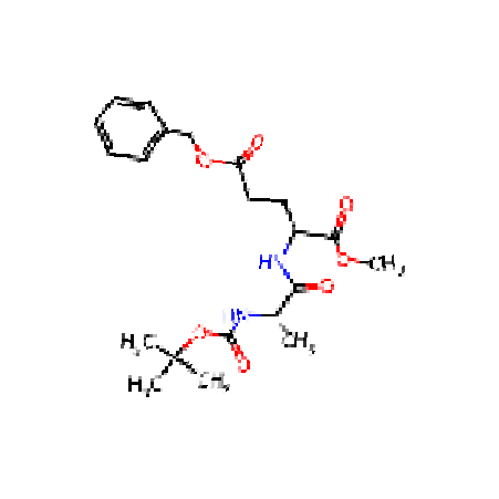 COC(=O)[C@H](CCC(=O)OCc1ccccc1)NC(=O)[C@H](C)NC(=O)OC(C)(C)C